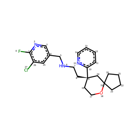 Fc1ncc(CNCC[C@]2(c3ccccn3)CCOC3(CCCC3)C2)cc1Cl